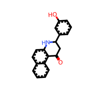 O=C1CC(c2cccc(O)c2)Nc2ccc3ccccc3c21